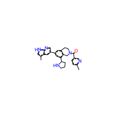 Cc1ccc(C(=O)N2CCc3cc(-c4cnc5[nH]cc(C)c5c4)cc(C4CCCN4)c3C2)cn1